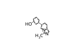 Cc1ncc2ccc(-c3cccc(O)c3)cn12